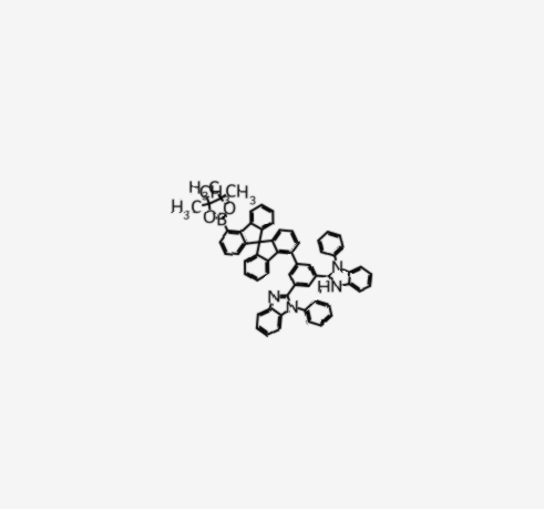 CC1(C)OB(c2cccc3c2-c2ccccc2C32c3ccccc3-c3c(-c4cc(-c5nc6ccccc6n5-c5ccccc5)cc(C5Nc6ccccc6N5c5ccccc5)c4)cccc32)OC1(C)C